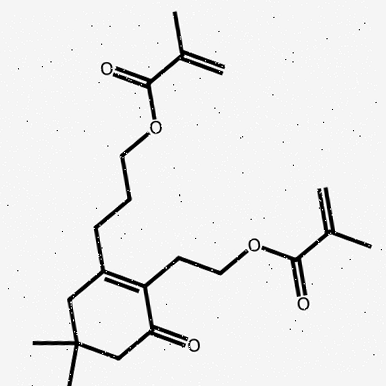 C=C(C)C(=O)OCCCC1=C(CCOC(=O)C(=C)C)C(=O)CC(C)(C)C1